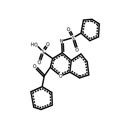 O=C(c1ccccc1)c1oc2ccccc2c(=NS(=O)(=O)c2ccccc2)c1S(=O)(=O)O